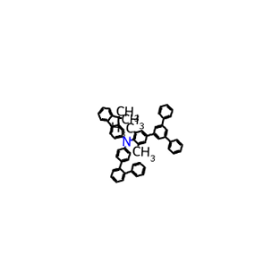 Cc1cc(-c2cc(-c3ccccc3)cc(-c3ccccc3)c2)cc(C)c1N(c1ccc(-c2ccccc2-c2ccccc2)cc1)c1ccc2c(c1)C(C)(C)c1ccccc1-2